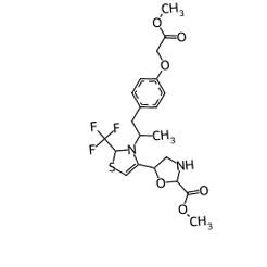 COC(=O)COc1ccc(CC(C)N2C(C3CNC(C(=O)OC)O3)=CSC2C(F)(F)F)cc1